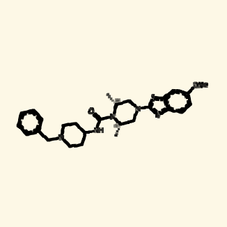 COc1ccc2nc(N3C[C@@H](C)N(C(=O)NC4CCN(Cc5ccccc5)CC4)[C@@H](C)C3)sc2c1